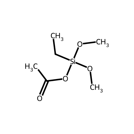 CC[Si](OC)(OC)OC(C)=O